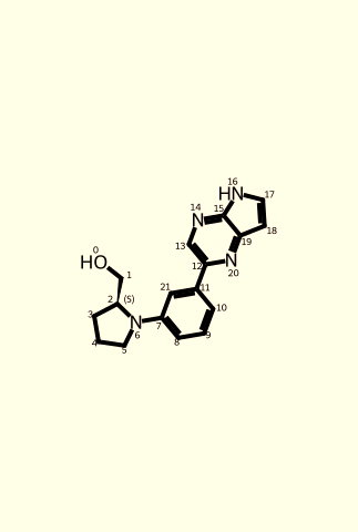 OC[C@@H]1CCCN1c1cccc(-c2cnc3[nH]ccc3n2)c1